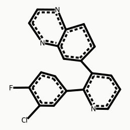 Fc1ccc(-c2ncccc2-c2ccc3nccnc3c2)cc1Cl